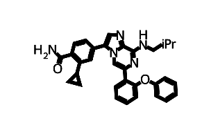 CC(C)CNc1nc(-c2ccccc2Oc2ccccc2)cn2c(-c3ccc(C(N)=O)c(C4CC4)c3)cnc12